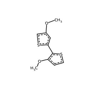 COc1csc(-c2sccc2OC)c1